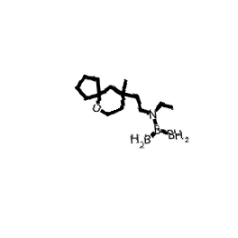 BB(B)N(CC)CCC1(C)CCOC2(CCCC2)C1